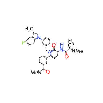 CNC(=O)c1cccc(-c2ccc(NC(=O)C(C)NC)c(=O)n2Cc2cccc(-n3cc(C)c4cc(F)ccc43)c2)c1